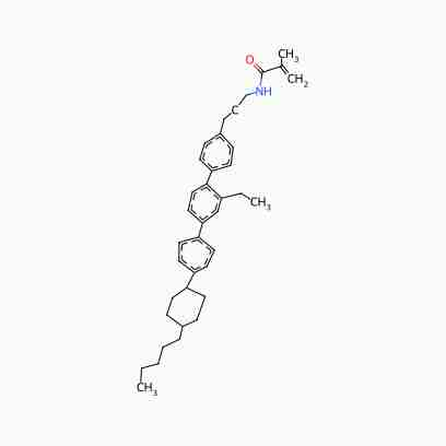 C=C(C)C(=O)NCCCc1ccc(-c2ccc(-c3ccc(C4CCC(CCCCC)CC4)cc3)cc2CC)cc1